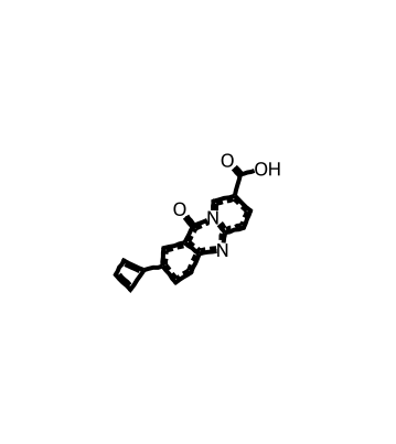 O=C(O)c1ccc2nc3ccc(C4=CC=C4)cc3c(=O)n2c1